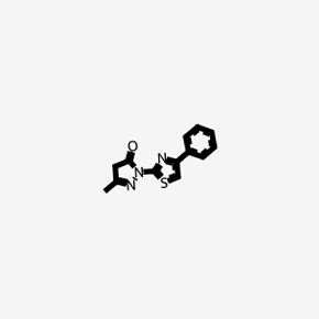 CC1=NN(c2nc(-c3ccccc3)cs2)C(=O)C1